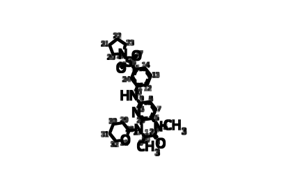 C[C@@H]1C(=O)N(C)c2ccc(Nc3cccc(S(=O)(=O)N4CCCC4)c3)nc2N1C1CCCCO1